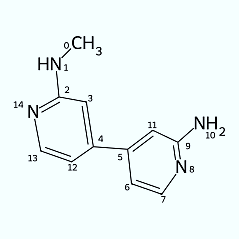 CNc1cc(-c2ccnc(N)c2)ccn1